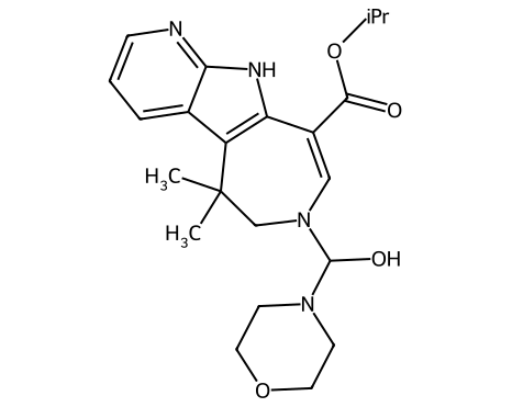 CC(C)OC(=O)C1=CN(C(O)N2CCOCC2)CC(C)(C)c2c1[nH]c1ncccc21